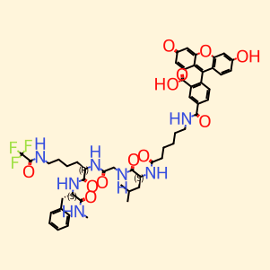 CNC(=O)[C@H](Cc1ccccc1)NC(=O)[C@@H](CCCCNC(=O)C(F)(F)F)NC(=O)CNC(=O)[C@H](CC(C)C)NC(=O)CCCCCNC(=O)c1ccc(-c2c3ccc(=O)cc-3oc3cc(O)ccc23)c(C(=O)O)c1